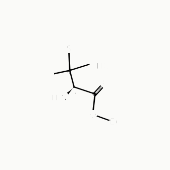 CCOC(=O)[C@@H](N)C(C)(C)S.Cl